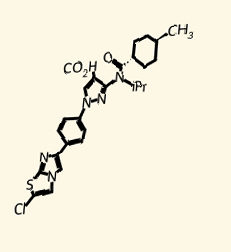 CC(C)N(c1nn(-c2ccc(-c3cn4cc(Cl)sc4n3)cc2)cc1C(=O)O)C(=O)[C@H]1CC[C@H](C)CC1